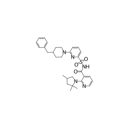 CC1CN(c2ncccc2C(=O)NS(=O)(=O)c2cccc(N3CCC(Cc4ccccc4)CC3)n2)C(C)(C)C1